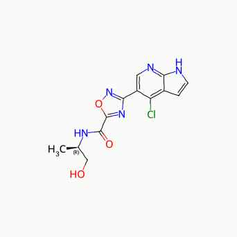 C[C@H](CO)NC(=O)c1nc(-c2cnc3[nH]ccc3c2Cl)no1